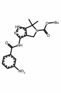 CC(C)(C)OC(=O)N1Cc2c(NC(=O)c3cccc([N+](=O)[O-])c3)n[nH]c2C1(C)C